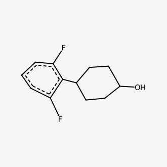 OC1CCC(c2c(F)cccc2F)CC1